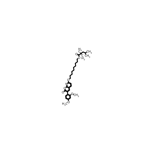 COc1ccc(-c2cc3ccc(OCCCCCCCCCCOC(=O)C(C)(C)CC(C)C)nc3oc2=O)c(OC)c1